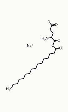 CCCCCCCCCCCCCCCC(=O)OC(=O)C(N)CCC(=O)[O-].[Na+]